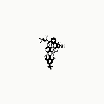 CN(C)CCNC(=O)c1cccc(-c2n[nH]cc2C(=O)Nc2ccnc(-n3ncc4cc(C(C)(C)C)cc(F)c4c3=O)c2CO)c1